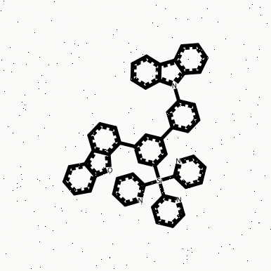 c1ccc([Si](c2cc(-c3cccc(-n4c5ccccc5c5ccccc54)c3)cc(-c3cccc4c3oc3ccccc34)c2)(c2ccccn2)c2ccccn2)nc1